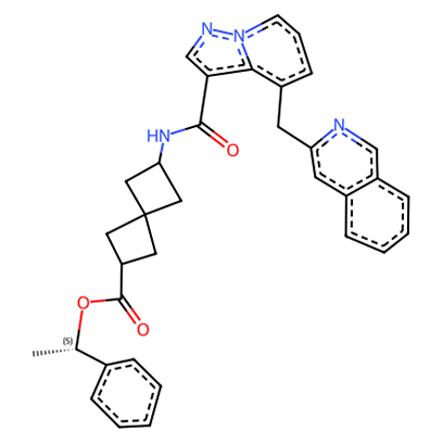 C[C@H](OC(=O)C1CC2(CC(NC(=O)c3cnn4cccc(Cc5cc6ccccc6cn5)c34)C2)C1)c1ccccc1